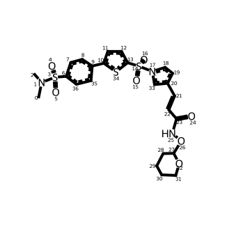 CN(C)S(=O)(=O)c1ccc(-c2ccc(S(=O)(=O)n3ccc(C=CC(=O)NOC4CCCCO4)c3)s2)cc1